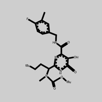 Cc1cc(CNC(=O)c2nc(C(CCC(C)(C)C)N(C)C(=O)OC(C)(C)C)[nH]c(=O)c2O)ccc1F